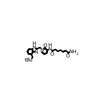 CC(C)(C)Cc1cccc2[nH]c(Cn3cccc(NC(=O)CCC/C=C/C(N)=O)c3=O)nc12